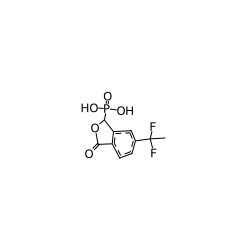 CC(F)(F)c1ccc2c(c1)C(P(=O)(O)O)OC2=O